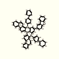 c1ccc(-c2ccc(N3c4cc(-c5ccc6oc7ccccc7c6c5)cc5c4B(c4ccc6c(ccc7ccccc76)c43)c3ccc4c(ccc6ccccc64)c3N5c3ccc(-c4ccccc4)cc3)cc2)cc1